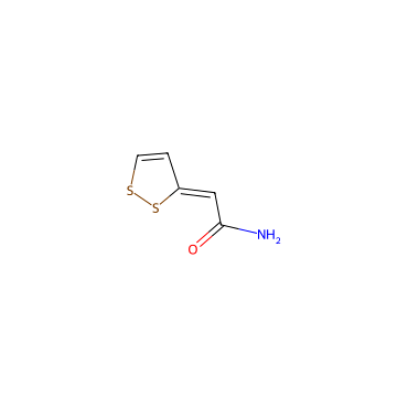 NC(=O)C=C1C=CSS1